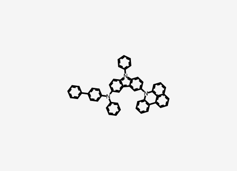 c1ccc(-c2ccc(N(c3ccccc3)c3ccc4c(c3)c3cc(N5c6ccccc6-c6cccc7cccc5c67)ccc3n4-c3ccccc3)cc2)cc1